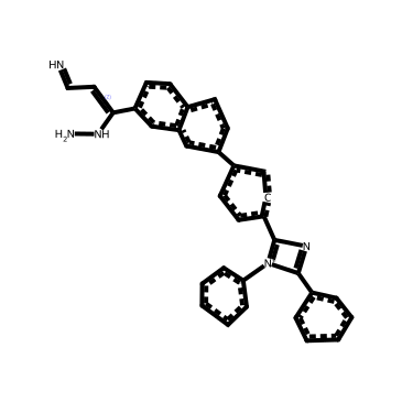 N=C/C=C(\NN)c1ccc2ccc(-c3ccc(C4=[N+](c5ccccc5)C(c5ccccc5)=N4)cc3)cc2c1